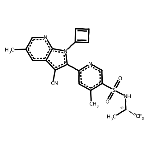 Cc1cnc2c(c1)c(C#N)c(-c1cc(C)c(S(=O)(=O)N[C@@H](C)C(F)(F)F)cn1)n2C1=CC=C1